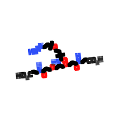 CC(C)(CCN=[N+]=N)OCCC(C)(C)C(=O)NC(COCCC(=O)NCCC(=O)O)COCCC(=O)NCCC(=O)O